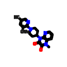 COc1cc(C#N)cnc1N1CCC(n2c(=O)c(=O)n(C)c3cccnc32)CC1